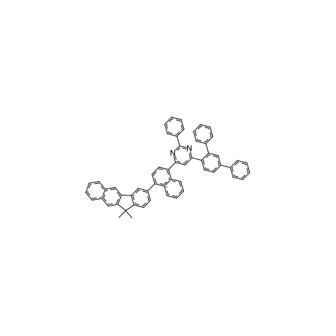 CC1(C)c2ccc(-c3ccc(-c4cc(-c5ccc(-c6ccccc6)cc5-c5ccccc5)nc(-c5ccccc5)n4)c4ccccc34)cc2-c2cc3ccccc3cc21